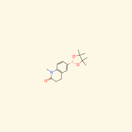 CN1C(=O)CCc2cc(B3OC(C)(C)C(C)(C)O3)ccc21